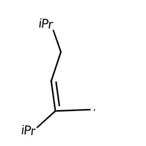 [CH2]C(=CCC(C)C)C(C)C